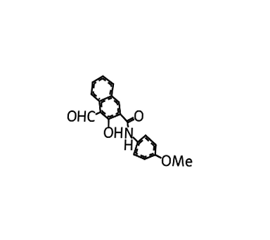 COc1ccc(NC(=O)c2cc3ccccc3c(C=O)c2O)cc1